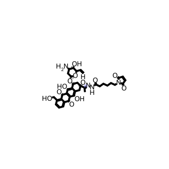 C=CC1O[C@@H](O[C@H]2C[C@](O)(/C(C)=N/NC(=O)CCCCCN3C(=O)C=CC3=O)Cc3c(O)c4c(c(O)c32)C(=O)c2c(CO)cccc2C4=O)CC(N)[C@H]1O